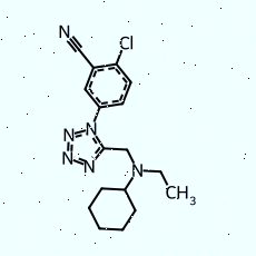 CCN(Cc1nnnn1-c1ccc(Cl)c(C#N)c1)C1CCCCC1